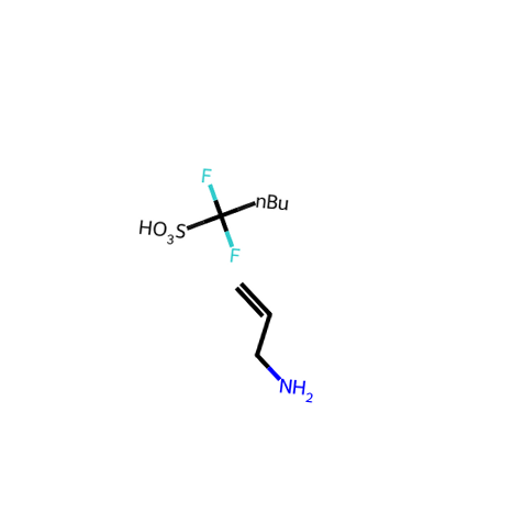 C=CCN.CCCCC(F)(F)S(=O)(=O)O